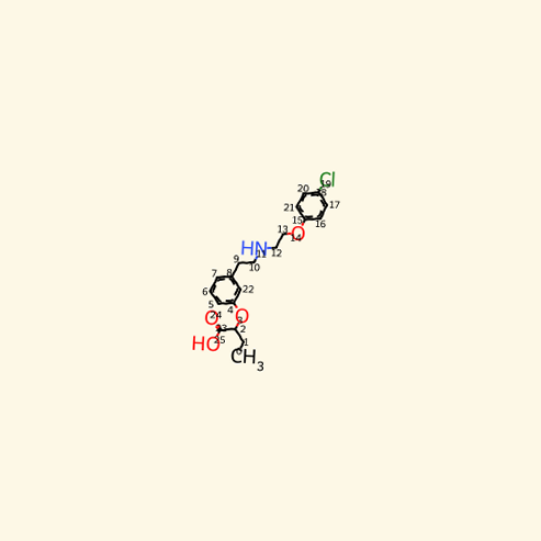 CCC(Oc1cccc(CCNCCOc2ccc(Cl)cc2)c1)C(=O)O